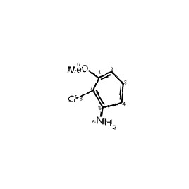 COc1cc[c]c(N)c1Cl